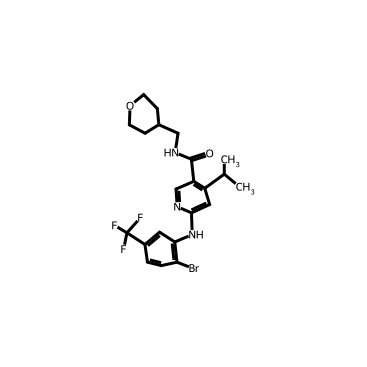 CC(C)c1cc(Nc2cc(C(F)(F)F)ccc2Br)ncc1C(=O)NCC1CCOCC1